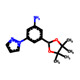 CC1(C)OB(c2cc(N)cc(-n3cccn3)c2)OC1(C)C